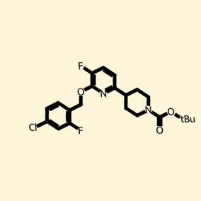 CC(C)(C)OC(=O)N1CCC(c2ccc(F)c(OCc3ccc(Cl)cc3F)n2)CC1